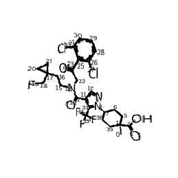 C[C@]1(C(=O)O)CC[C@H](n2ncc(C(=O)N(CCC3(CF)CC3)CC(=O)c3c(Cl)cccc3Cl)c2C(F)(F)F)CC1